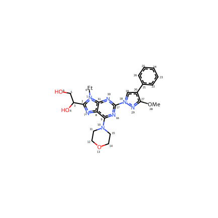 CCn1c(C(O)CO)nc2c(N3CCOCC3)nc(-n3cc(-c4ccccc4)c(OC)n3)nc21